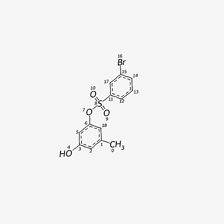 Cc1cc(O)cc(OS(=O)(=O)c2cccc(Br)c2)c1